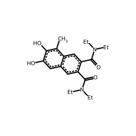 CCN(CC)C(=O)c1cc2cc(O)c(O)c(C)c2cc1C(=O)N(CC)CC